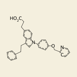 O=C(O)CCc1ccc2c(c1)c(CCc1ccccc1)cn2-c1ccc(OCc2ccccn2)cc1